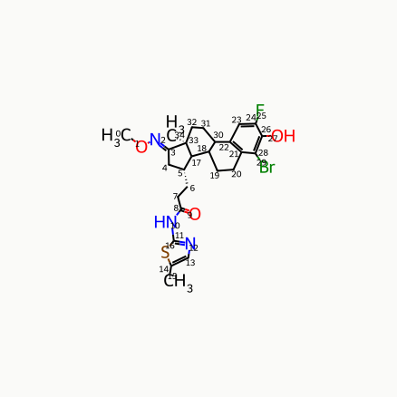 CON=C1C[C@@H](CCC(=O)Nc2ncc(C)s2)C2C3CCc4c(cc(F)c(O)c4Br)C3CC[C@]12C